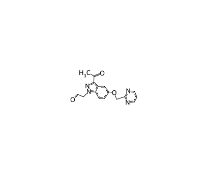 CC(=O)c1nn(CC=O)c2ccc(OCc3ncccn3)cc12